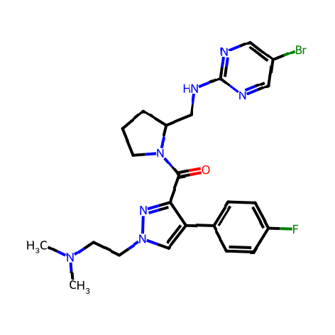 CN(C)CCn1cc(-c2ccc(F)cc2)c(C(=O)N2CCCC2CNc2ncc(Br)cn2)n1